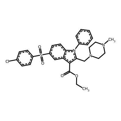 CCOC(=O)c1c(CN2CCN(C)CC2)n(-c2ccccc2)c2ccc(S(=O)(=O)c3ccc(Cl)cc3)cc12